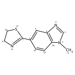 Cn1cnc2cc(C3=NCCS3)ccc21